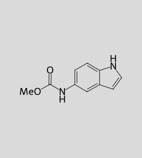 COC(=O)Nc1ccc2[nH]ccc2c1